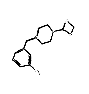 O=[N+]([O-])c1cccc(CN2CCN(C3OCO3)CC2)c1